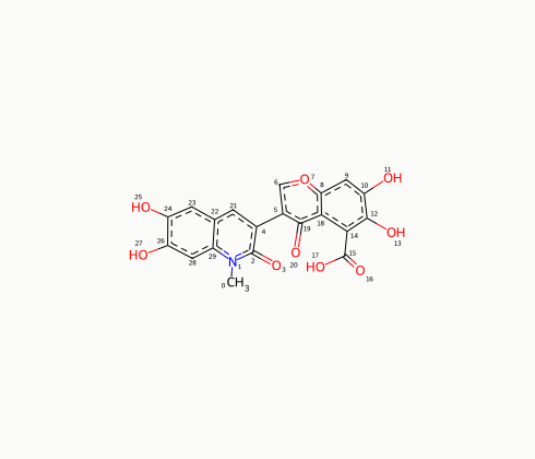 Cn1c(=O)c(-c2coc3cc(O)c(O)c(C(=O)O)c3c2=O)cc2cc(O)c(O)cc21